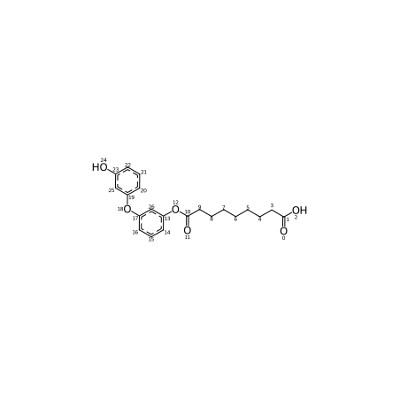 O=C(O)CCCCCCCC(=O)Oc1cccc(Oc2cccc(O)c2)c1